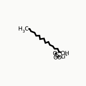 CCCCCCCCCCCCCCC(O)S(=O)(=O)[O-].[Li+]